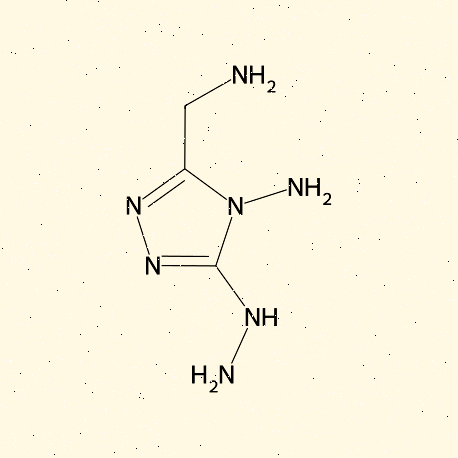 NCc1nnc(NN)n1N